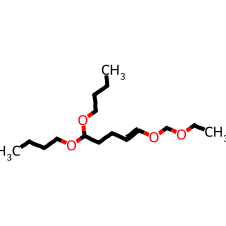 CCCCOC(CCC=COCOCC)OCCCC